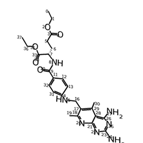 CCOC(=O)CC[C@H](NC(=O)c1ccc(NCc2c(C)nc3nc(N)nc(N)c3c2C)cc1)C(=O)OCC